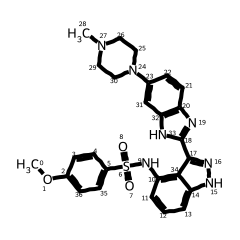 COc1ccc(S(=O)(=O)Nc2cccc3[nH]nc(-c4nc5ccc(N6CCN(C)CC6)cc5[nH]4)c23)cc1